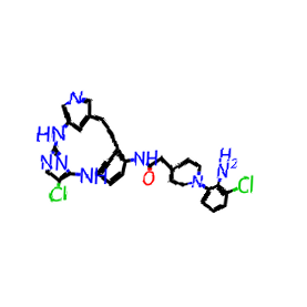 Nc1c(Cl)cccc1N1CCC(CC(=O)Nc2ccc3cc2CCc2cncc(c2)Nc2ncc(Cl)c(n2)N3)CC1